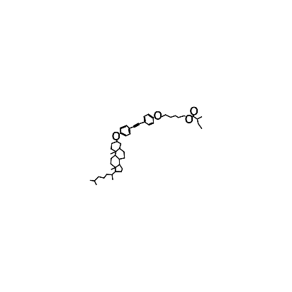 CCC(C)C(=O)OCCCCCCOc1ccc(C#Cc2ccc(OC3CCC4(C)C(CCC5C4CCC4(C)C(C(C)CCCC(C)C)CCC54)C3)cc2)cc1